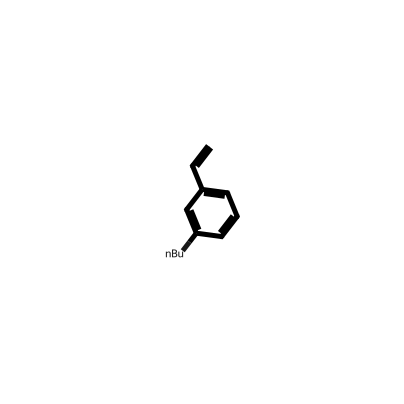 C=Cc1cccc(CCCC)c1